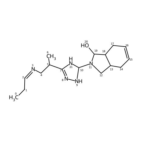 CC/C=N\CC(C)C1=NNC(N2CC3CC=CCC3C2O)N1